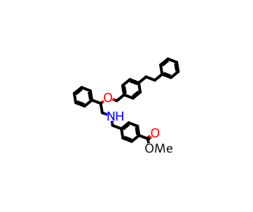 COC(=O)c1ccc(CNCC(OCc2ccc(CCc3ccccc3)cc2)c2ccccc2)cc1